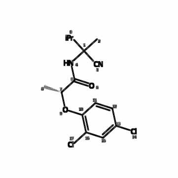 CC(C)C(C)(C#N)NC(=O)[C@@H](C)Oc1ccc(Cl)cc1Cl